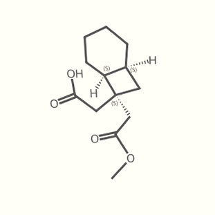 COC(=O)C[C@@]1(CC(=O)O)C[C@@H]2CCCC[C@@H]21